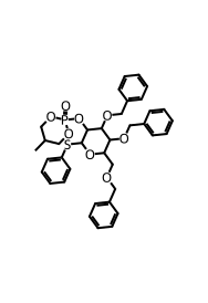 CC1COP(=O)(OC2C(Sc3ccccc3)OC(COCc3ccccc3)C(OCc3ccccc3)C2OCc2ccccc2)OC1